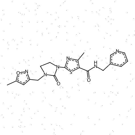 Cc1cc(CN2CCN(c3nc(C)c(C(=O)NCc4cccnc4)s3)C2=O)no1